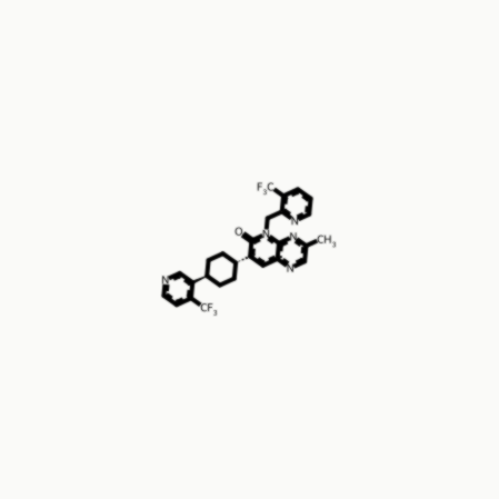 Cc1cnc2cc([C@H]3CC[C@H](c4cnccc4C(F)(F)F)CC3)c(=O)n(Cc3ncccc3C(F)(F)F)c2n1